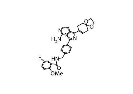 COc1ccc(F)cc1C(=O)NCc1ccc(-c2nc(C3=CCC4(CC3)OCCO4)c3ccnc(N)n23)cc1